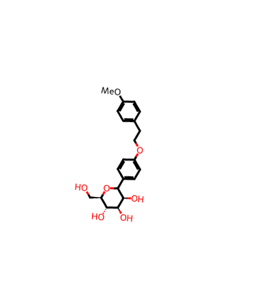 COc1ccc(CCOc2ccc(C3O[C@H](CO)[C@@H](O)[C@H](O)[C@@H]3O)cc2)cc1